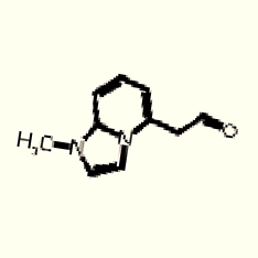 CN1C=CN2C(CC=O)=CC=CC12